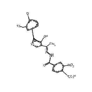 C/C(=N\NC(=O)c1ccc(C(=O)O)c([N+](=O)[O-])c1)c1csc(-c2ccc(Cl)c(Cl)c2)c1O